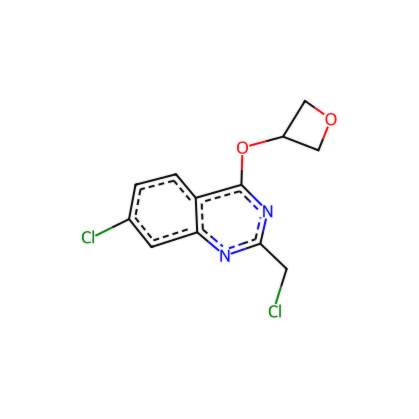 ClCc1nc(OC2COC2)c2ccc(Cl)cc2n1